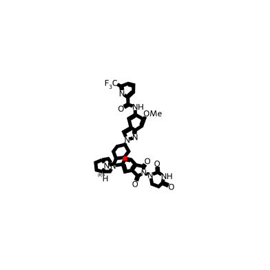 COc1cc2nn(C3CCC(CN4C5CC[C@@H]4CN(c4ccc6c(c4)C(=O)N(N4CCC(=O)NC4=O)C6=O)C5)CC3)cc2cc1NC(=O)c1cccc(C(F)(F)F)n1